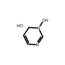 Cl.ON1C=NC=CC1